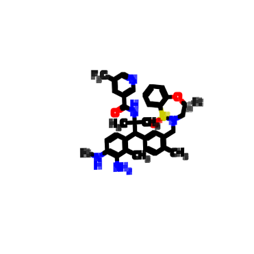 CCNc1ccc(C(c2ccc(C)c(CN3C[C@@H](CC)Oc4ccccc4[S+]3[O-])c2)C(C)(C)NC(=O)c2cncc(C(F)(F)F)c2)c(C)c1N